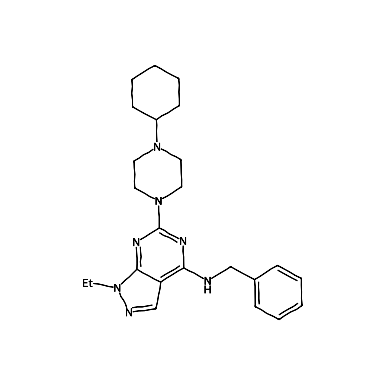 CCn1ncc2c(NCc3ccccc3)nc(N3CCN(C4CCCCC4)CC3)nc21